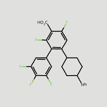 CCCC1CCC(c2cc(F)c(C(=O)O)c(F)c2-c2cc(F)c(F)c(F)c2)CC1